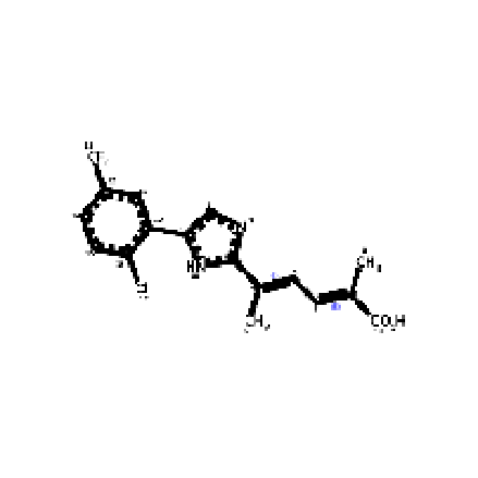 C/C(=C\C=C(/C)c1ncc(-c2cc(C(F)(F)F)ccc2Cl)[nH]1)C(=O)O